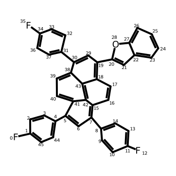 Fc1ccc(-c2cc(-c3ccc(F)cc3)c3ccc4c(-c5cc6ccccc6o5)cc(-c5ccc(F)cc5)c5ccc2c3c54)cc1